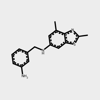 Cc1nc2c(C)cc(NCc3cccc(N)c3)cc2s1